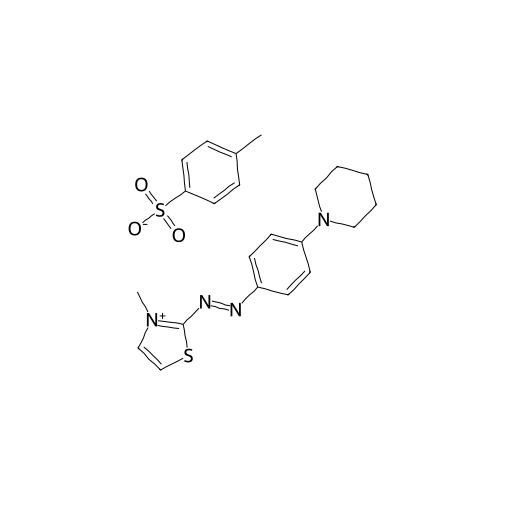 C[n+]1ccsc1N=Nc1ccc(N2CCCCC2)cc1.Cc1ccc(S(=O)(=O)[O-])cc1